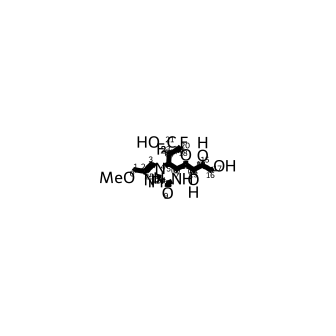 COCc1cn(C2[C@@H](NC(=O)C(C)C)C([C@H](O)[C@H](O)CO)O[C@@](F)(C(=O)O)[C@H]2F)nn1